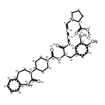 COC(=O)[C@@H]1CCCN1C=C=C=NC(=O)[C@@H](Cc1ccc(O)c(Br)c1)OC(=O)N1CCC(N2CCc3ccccc3NC2=O)CC1